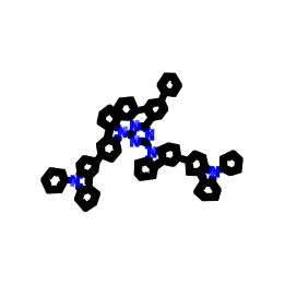 c1ccc(-c2ccc(-c3nc(-n4c5ccccc5c5cc(-c6ccc7c(c6)c6ccccc6n7-c6ccccc6)ccc54)nc(-n4c5ccccc5c5cc(-c6ccc7c(c6)c6ccccc6n7-c6ccccc6)ccc54)n3)c(-c3ccccc3)c2)cc1